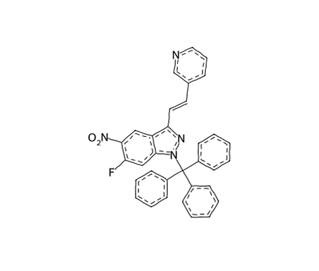 O=[N+]([O-])c1cc2c(/C=C/c3cccnc3)nn(C(c3ccccc3)(c3ccccc3)c3ccccc3)c2cc1F